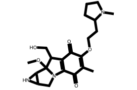 COC12C(CO)C3=C(C(=O)C(C)=C(OCCC4CCCN4C)C3=O)N1CC1NC12